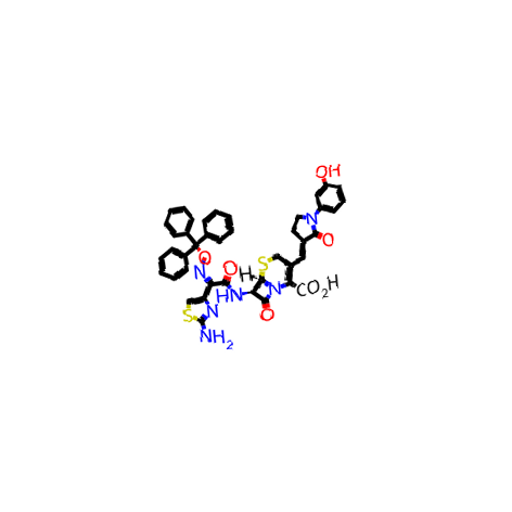 Nc1nc(/C(=N/OC(c2ccccc2)(c2ccccc2)c2ccccc2)C(=O)N[C@@H]2C(=O)N3C(C(=O)O)=C(/C=C4\CCN(c5cccc(O)c5)C4=O)CS[C@H]23)cs1